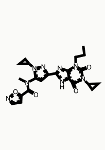 CCCn1c(=O)n(C2CC2)c(=O)c2[nH]c(-c3cc(N(C)C(=O)c4ccno4)n(C4CC4)n3)nc21